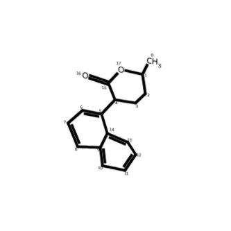 CC1CCC(c2cccc3ccccc23)C(=O)O1